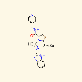 CC(C)(C)C(CN(Cc1nc2ccccc2[nH]1)C(=O)O)c1nc(C(=O)NCc2ccncc2)cs1